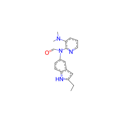 CCc1cc2cc(N(C=O)c3ncccc3N(C)C)ccc2[nH]1